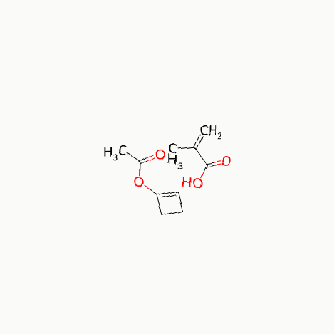 C=C(C)C(=O)O.CC(=O)OC1=CCC1